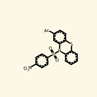 CC(=O)c1ccc2c(c1)N(S(=O)(=O)c1ccc([N+](=O)[O-])cc1)c1ccccc1S2